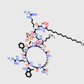 CCCCCCCCCCCCCCCC(=O)N[C@@H](CO)C(=O)N[C@@H](CCCCNC(=N)N)C(=O)N[C@@H](CO)[C@H](O)N[C@@H](CCCC)C(=O)N[C@H]1CCC(=O)NCCCC[C@@H](C(N)=O)NC(=O)[C@H](Cc2c[nH]c3ccccc23)NC(=O)[C@H](CCCNC(=N)N)NC(=O)[C@@H](Cc2ccccc2)NC(=O)[C@H](CCS(C)(=O)=O)NC1=O